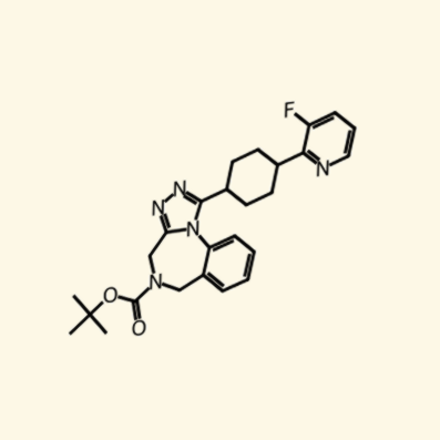 CC(C)(C)OC(=O)N1Cc2ccccc2-n2c(nnc2C2CCC(c3ncccc3F)CC2)C1